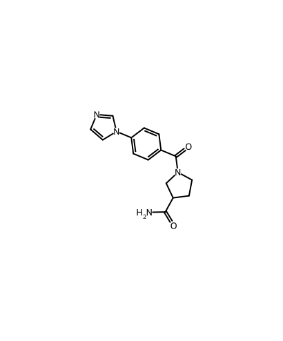 NC(=O)C1CCN(C(=O)c2ccc(-n3ccnc3)cc2)C1